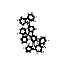 c1ccc(C2(c3ccccc3)c3cc(-n4c5ccccc5c5ccccc54)ccc3-c3ccc(-n4c5ccccc5c5ccc6sc7ccccc7c6c54)cc32)cc1